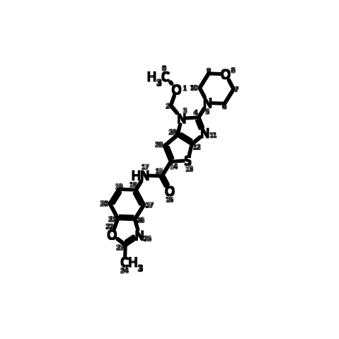 COCn1c(N2CCOCC2)nc2sc(C(=O)Nc3ccc4oc(C)nc4c3)cc21